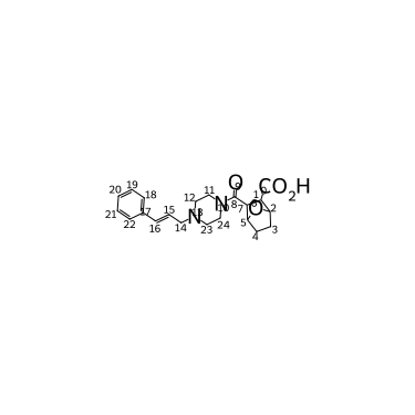 O=C(O)C1C2CCC(O2)C1C(=O)N1CCN(C/C=C/c2ccccc2)CC1